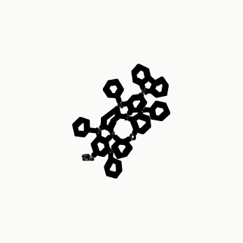 CC(C)(C)c1cc2c3c(c1)N(c1ccccc1)c1cccc4c1B3c1cc3c(cc1N2c1ccccc1)N(c1ccccc1)c1cc(-n2c5ccccc5c5ccccc52)cc2c1B3c1c(cccc1N2c1ccccc1)O4